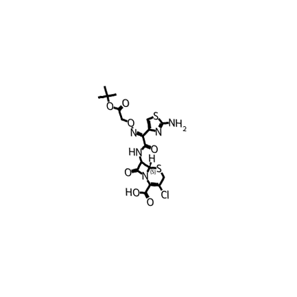 CC(C)(C)OC(=O)CON=C(C(=O)NC1C(=O)N2C(C(=O)O)=C(Cl)CS[C@@H]12)c1csc(N)n1